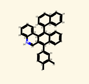 Cc1ccc(-c2c3ccccc3c(-c3cccc4ccccc34)c3c2cnc2ccccc23)cc1C